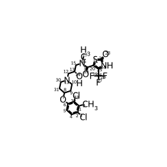 Cc1c(Cl)ccc(OC2CCN(C[C@H](O)CN(C)C(=O)c3sc(=O)[nH]c3C(F)(F)F)CC2)c1Cl